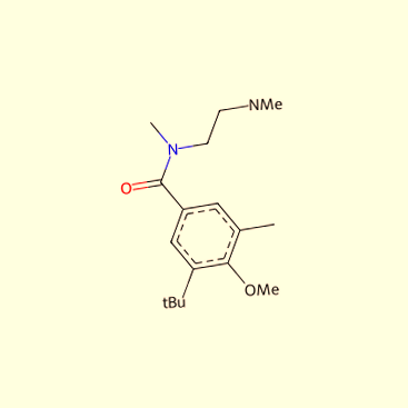 CNCCN(C)C(=O)c1cc(C)c(OC)c(C(C)(C)C)c1